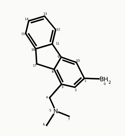 Bc1cc(CN(C)C)c2c(c1)-c1ccccc1C2